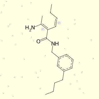 CC/C=C\C(C(=O)NCc1cccc(CCCC)c1)=C(/C)N